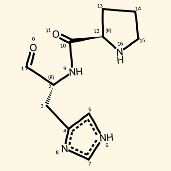 O=[C][C@@H](Cc1c[nH]cn1)NC(=O)[C@H]1CCCN1